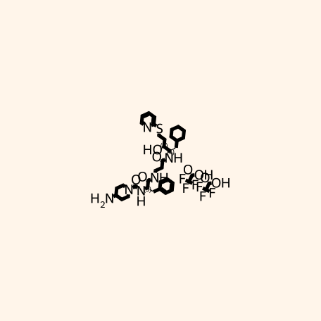 NC1CCN(C(=O)N[C@@H](Cc2ccccc2)C(=O)NCCC(=O)N[C@@H](CC2CCCCC2)[C@@H](O)CCSc2ccccn2)CC1.O=C(O)C(F)(F)F.O=C(O)C(F)(F)F